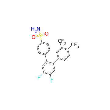 NS(=O)(=O)c1ccc(-c2cc(F)c(F)cc2-c2ccc(C(F)(F)F)c(C(F)(F)F)c2)cc1